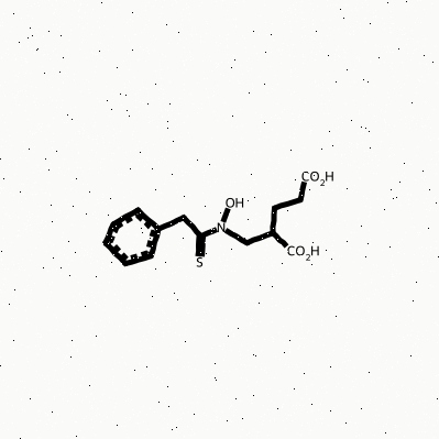 O=C(O)CCC(CN(O)C(=S)Cc1ccccc1)C(=O)O